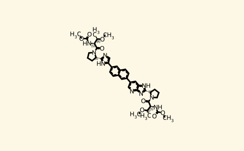 COC(=O)N[C@H](C(=O)N1CCC[C@H]1c1ncc(-c2ccc3cc(-c4cnc5nc([C@@H]6CCCN6C(=O)[C@@H](NC(=O)OC)[C@@H](C)OC)[nH]c5c4)ccc3c2)[nH]1)[C@@H](C)OC